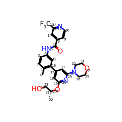 Cc1ccc(NC(=O)c2ccnc(C(F)(F)F)c2)cc1-c1cc(O[C@H](C)CO)nc(N2CCOCC2)c1